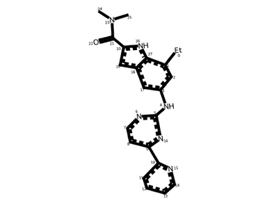 CCc1cc(Nc2nccc(-c3ccccn3)n2)cc2cc(C(=O)N(C)C)[nH]c12